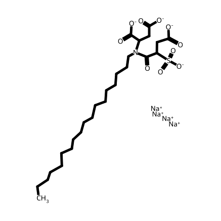 CCCCCCCCCCCCCCCCCCN(C(=O)C(CC(=O)[O-])S(=O)(=O)[O-])C(CC(=O)[O-])C(=O)[O-].[Na+].[Na+].[Na+].[Na+]